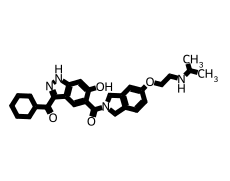 CC(C)NCCOc1ccc2c(c1)CN(C(=O)c1cc3c(C(=O)C4CCCCC4)n[nH]c3cc1O)C2